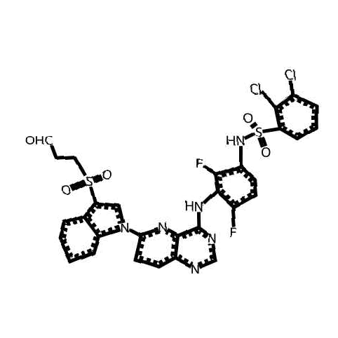 O=CCCS(=O)(=O)c1cn(-c2ccc3ncnc(Nc4c(F)ccc(NS(=O)(=O)c5cccc(Cl)c5Cl)c4F)c3n2)c2ccccc12